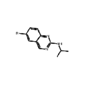 CC(C)Nc1ncc2cc(Br)ccc2n1